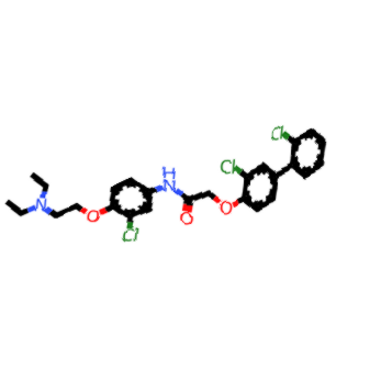 CCN(CC)CCOc1ccc(NC(=O)COc2ccc(-c3ccccc3Cl)cc2Cl)cc1Cl